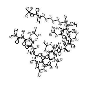 C=C(C(=O)N(C)[C@@H](CC(C)C)C(=O)N[C@H](C(=O)N(C)[C@@H](CC(C)C)C(=O)NC(C)C(=O)NC(C)C(=O)N(C)[C@@H](CC(C)C)C(=O)N(C)C(=O)NC)C(C)C)N(C)C(=O)[C@H](CC)NC(=O)C([C@H](O)[C@H](C)CCCCCCNC(=O)OC(C)(C)C)N(C)C(=O)CC(C)C